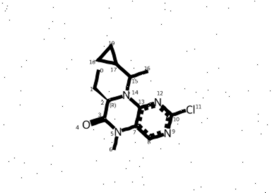 CC[C@@H]1C(=O)N(C)c2cnc(Cl)nc2N1C(C)C1CC1